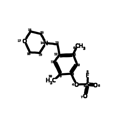 Cc1cc(OS(=O)(=O)F)c(C)cc1CN1CCOCC1